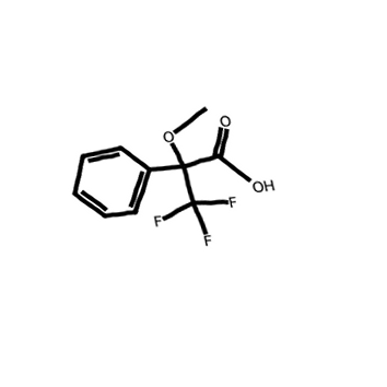 COC(C(=O)O)(c1ccccc1)C(F)(F)F